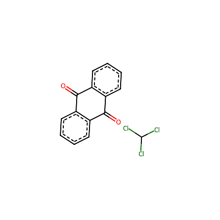 ClC(Cl)Cl.O=C1c2ccccc2C(=O)c2ccccc21